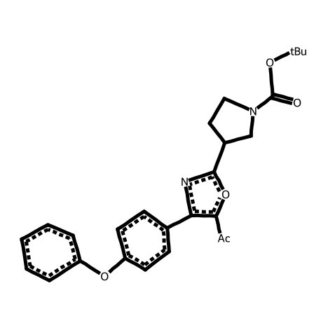 CC(=O)c1oc(C2CCN(C(=O)OC(C)(C)C)C2)nc1-c1ccc(Oc2ccccc2)cc1